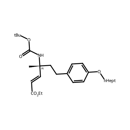 CCCCCCCOc1ccc(CC[C@](C)(C=CC(=O)OCC)NC(=O)OC(C)(C)C)cc1